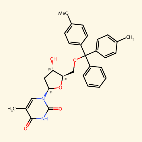 COc1ccc(C(OC[C@H]2O[C@@H](n3cc(C)c(=O)[nH]c3=O)C[C@@H]2O)(c2ccccc2)c2ccc(C)cc2)cc1